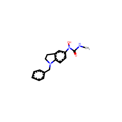 CNC(=O)N(O)c1ccc2c(c1)CCN2Cc1ccccc1